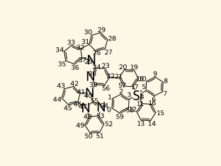 c1ccc([Si](c2ccccc2)(c2ccccc2)c2cccc(-c3cc(-n4c5ccccc5c5ccccc54)nc(-n4c5ccccc5n5c6ccccc6nc45)c3)c2)cc1